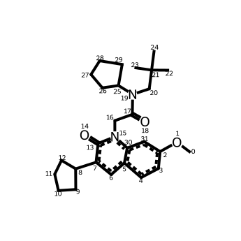 COc1ccc2cc(C3CCCC3)c(=O)n(CC(=O)N(CC(C)(C)C)C3CCCC3)c2c1